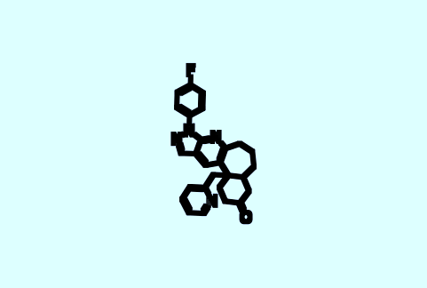 O=C1CCC2(Cc3ccccn3)c3cc4cnn(-c5ccc(F)cc5)c4nc3CCCC2C1